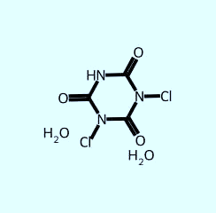 O.O.O=c1[nH]c(=O)n(Cl)c(=O)n1Cl